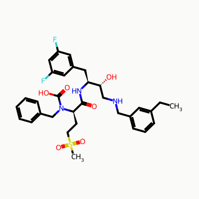 CCc1cccc(CNC[C@@H](O)[C@H](Cc2cc(F)cc(F)c2)NC(=O)[C@@H](CCS(C)(=O)=O)N(Cc2ccccc2)C(=O)O)c1